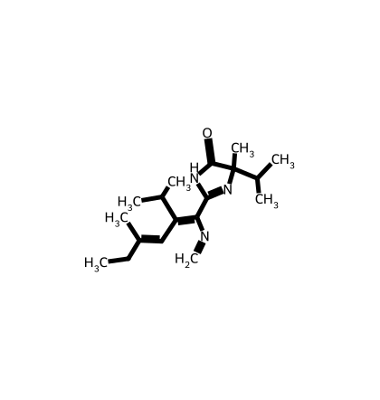 C=N/C(C1=NC(C)(C(C)C)C(=O)N1)=C(\C=C(/C)CC)C(C)C